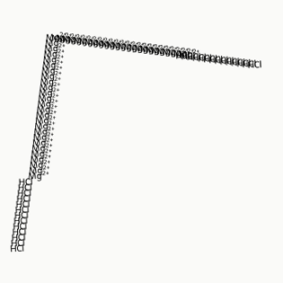 Cl.Cl.Cl.Cl.Cl.Cl.Cl.Cl.Cl.Cl.Cl.Cl.Cl.Cl.Cl.Cl.Cl.Cl.Cl.Cl.Cl.Cl.Cl.Cl.Cl.Cl.Cl.[Mg+2].[Mg+2].[Mg+2].[Mg+2].[Mg+2].[Mg+2].[Mg+2].[Mg+2].[Mg+2].[Mg+2].[Mg+2].[Mg+2].[Mg+2].[Mg+2].[Mg+2].[Mg+2].[Mg+2].[Mg+2].[Mg+2].[Mg+2].[Mg+2].[Mg+2].[Mg+2].[Mg+2].[Mg+2].[Mg+2].[Mg+2].[Mg+2].[Mg+2].[Mg+2].[Mg+2].[Mg+2].[Mg+2].[Mg+2].[Mg+2].[Mg+2].[Mg+2].[Mg+2].[Mg+2].[Mg+2].[Mg+2].[Mg+2].[Mg+2].[Mg+2].[Mg+2].[Mg+2].[Mg+2].[Mg+2].[Mg+2].[Mg+2]